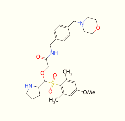 COc1cc(C)c(S(=O)(=O)C(OCC(=O)NCc2ccc(CN3CCOCC3)cc2)C2CCCN2)c(C)c1